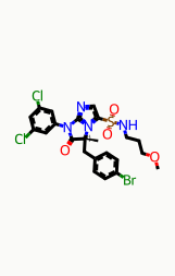 COCCCNS(=O)(=O)c1cnc2n1[C@](C)(Cc1ccc(Br)cc1)C(=O)N2c1cc(Cl)cc(Cl)c1